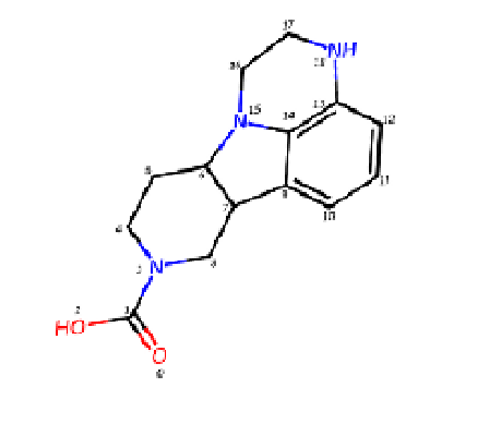 O=C(O)N1CCC2C(C1)c1cccc3c1N2CCN3